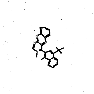 Cc1c(-c2c3nc4ccccc4nc3nc[n+]2C)cc(C(C)(C)C)c2ccccc12